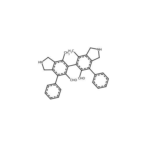 Cc1c2c(c(-c3ccccc3)c(C=O)c1-c1c(C)c3c(c(-c4ccccc4)c1C=O)CNC3)CNC2